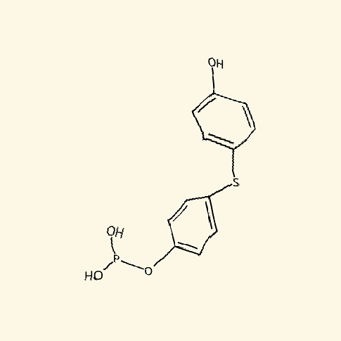 Oc1ccc(Sc2ccc(OP(O)O)cc2)cc1